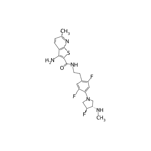 CN[C@H]1CN(c2cc(F)c(CCNC(=O)c3sc4nc(C)ccc4c3N)cc2F)C[C@@H]1F